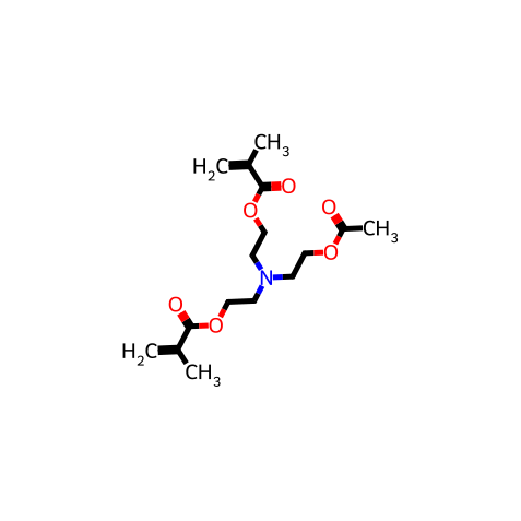 C=C(C)C(=O)OCCN(CCOC(C)=O)CCOC(=O)C(=C)C